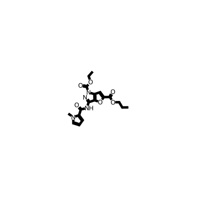 CCCOC(=O)c1cc2c(o1)c(NC(=O)c1cccn1C)nn2C(=O)OCC